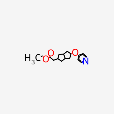 CCOC(=O)CC1CC2CC(Oc3ccncc3)CC2C1